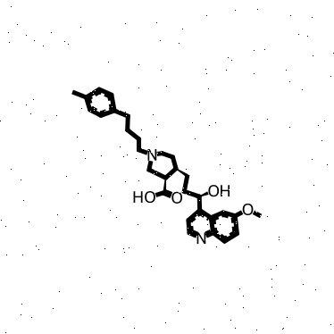 COc1ccc2nccc([C@H](O)CC[C@@H]3CCN(CCCCc4ccc(C)cc4)C[C@@H]3C(=O)O)c2c1